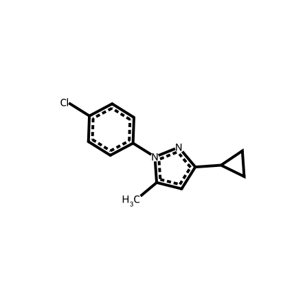 Cc1cc(C2CC2)nn1-c1ccc(Cl)cc1